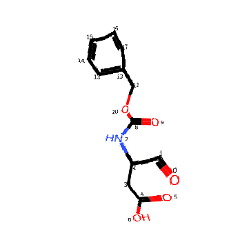 O=CC(CC(=O)O)NC(=O)OCc1ccccc1